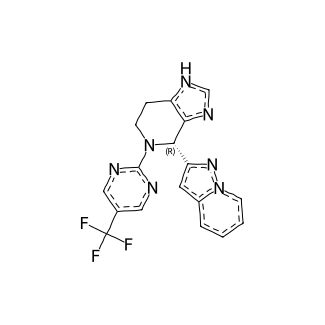 FC(F)(F)c1cnc(N2CCc3[nH]cnc3[C@@H]2c2cc3ccccn3n2)nc1